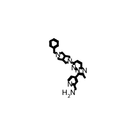 Cc1nc2ccc(N3CC4CN(Cc5ccccc5)CC4C3)nn2c1-c1ccnc(CN)c1